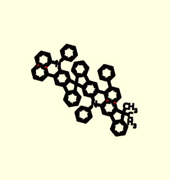 CC1(C)c2ccccc2-c2cc(N(c3ccccc3)c3cc4c(cc3-c3ccccc3-c3ccccc3)-c3ccccc3C43c4ccccc4-c4cc(-c5ccccc5)c(N(c5ccccc5)c5ccccc5)cc43)ccc21